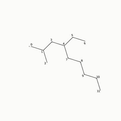 [CH2]C(C)CC(CC)CCCCC